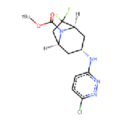 CC(C)(C)OC(=O)N1[C@H]2C[C@@H](Nc3ccc(Cl)nn3)C[C@@H]1C(F)(F)C2